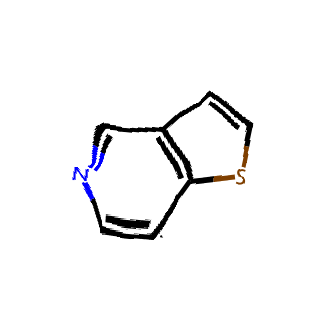 [c]1cncc2ccsc12